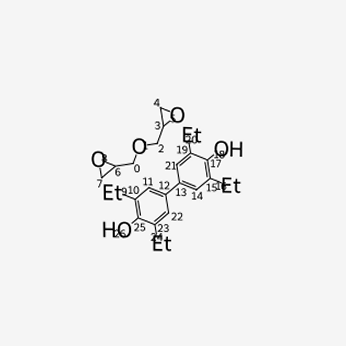 C(OCC1CO1)C1CO1.CCc1cc(-c2cc(CC)c(O)c(CC)c2)cc(CC)c1O